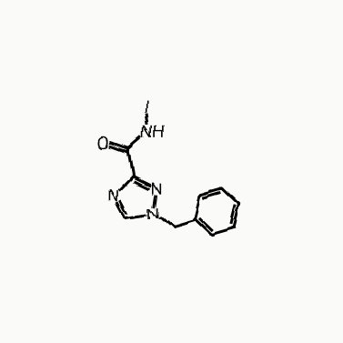 O=C(NI)c1ncn(Cc2ccccc2)n1